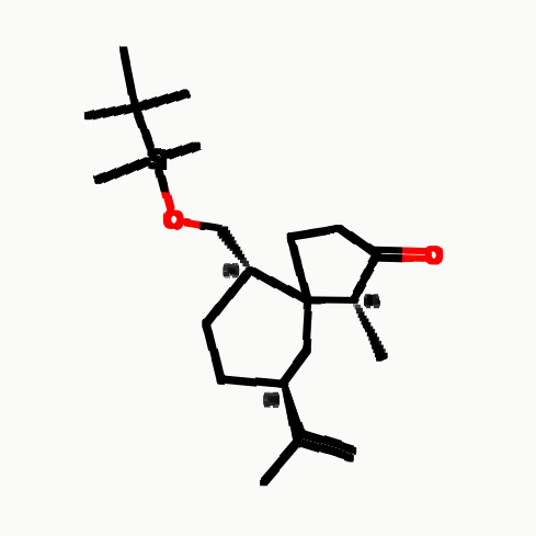 C=C(C)[C@H]1CC[C@H](CO[Si](C)(C)C(C)(C)C)C2(CCC(=O)[C@@H]2C)C1